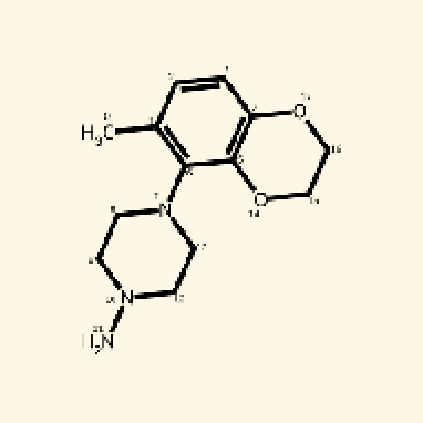 Cc1ccc2c(c1N1CCN(N)CC1)OCCO2